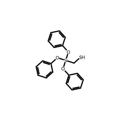 SC[Si](Oc1ccccc1)(Oc1ccccc1)Oc1ccccc1